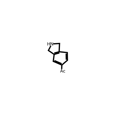 CC(=O)c1ccc2c(c1)CNC2